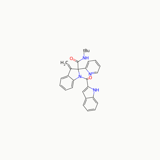 C=C1c2ccccc2N(C(=O)c2cc3ccccc3[nH]2)C1(C(=O)NC(C)(C)C)c1ccccn1